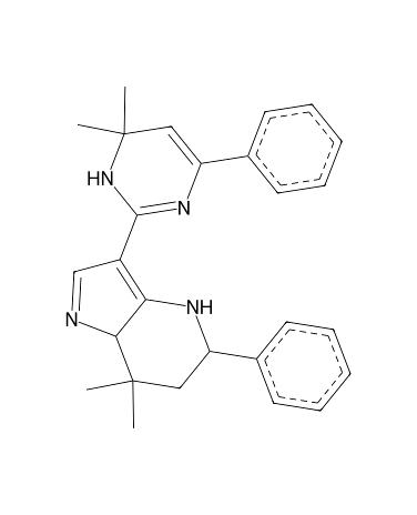 CC1(C)C=C(c2ccccc2)N=C(C2=C3NC(c4ccccc4)CC(C)(C)C3N=C2)N1